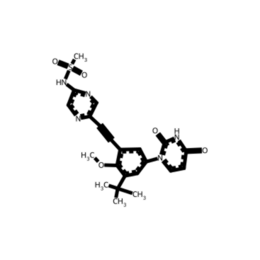 COc1c(C#Cc2cnc(NS(C)(=O)=O)cn2)cc(-n2ccc(=O)[nH]c2=O)cc1C(C)(C)C